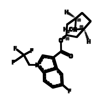 CN1[C@@H]2CC[C@H]1C[C@@H](OC(=O)c1cn(CC(F)(F)F)c3ccc(F)cc13)C2